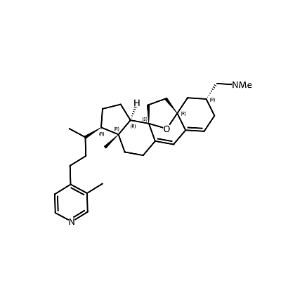 CNC[C@@H]1CC=C2C=C3CC[C@]4(C)[C@@H](C(C)CCc5ccncc5C)CC[C@H]4[C@@]34CC[C@]2(C1)O4